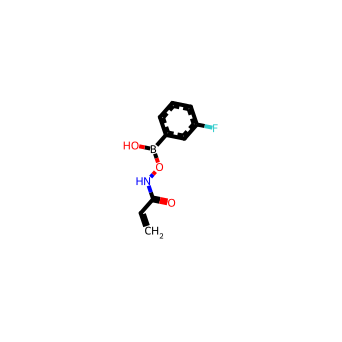 C=CC(=O)NOB(O)c1cccc(F)c1